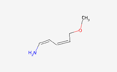 COC/C=C\C=C/N